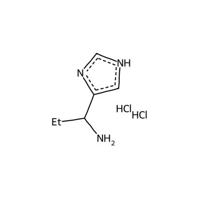 CCC(N)c1c[nH]cn1.Cl.Cl